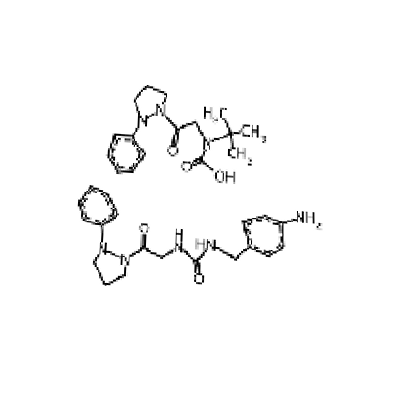 CC(C)(C)N(CC(=O)N1CCCN1c1ccccc1)C(=O)O.Nc1ccc(CNC(=O)NCC(=O)N2CCCN2c2ccccc2)cc1